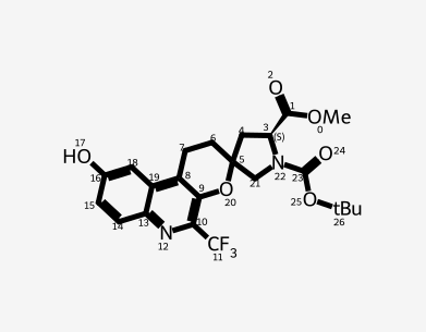 COC(=O)[C@@H]1CC2(CCc3c(c(C(F)(F)F)nc4ccc(O)cc34)O2)CN1C(=O)OC(C)(C)C